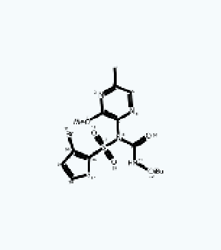 COc1nc(C)cnc1N(C(=O)NOCC(C)C)S(=O)(=O)c1sccc1Br